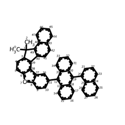 CC1(C)c2ccc3oc4ccc(-c5c6ccccc6c(-c6cccc7ccccc67)c6ccccc56)cc4c3c2-c2ccc3ccccc3c21